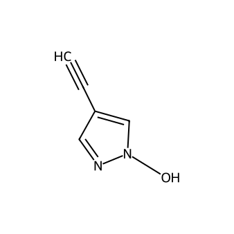 C#Cc1cnn(O)c1